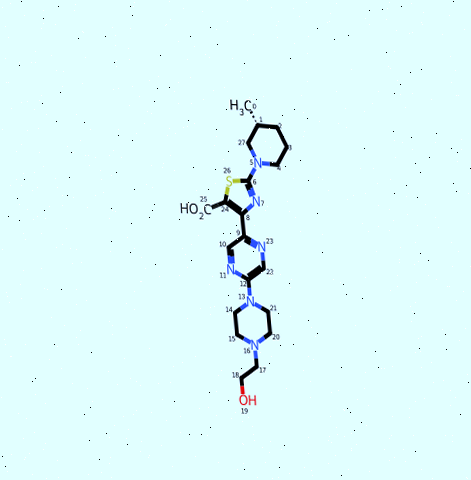 C[C@@H]1CCCN(c2nc(-c3cnc(N4CCN(CCO)CC4)cn3)c(C(=O)O)s2)C1